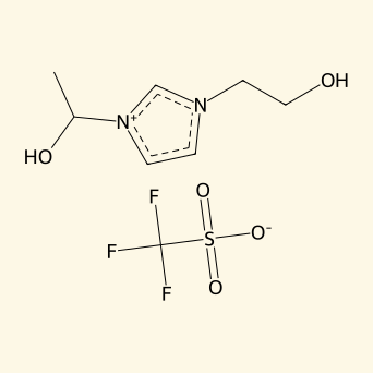 CC(O)[n+]1ccn(CCO)c1.O=S(=O)([O-])C(F)(F)F